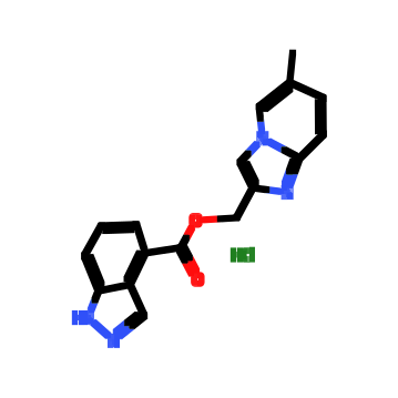 Cc1ccc2nc(COC(=O)c3cccc4[nH]ncc34)cn2c1.Cl